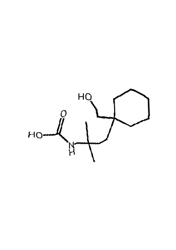 CC(C)(CC1(CO)CCCCC1)NC(=O)O